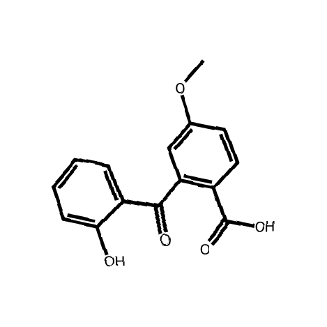 COc1ccc(C(=O)O)c(C(=O)c2ccccc2O)c1